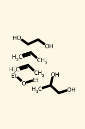 C=CC.C=CC.CC(O)CO.CCOCC.OCCO